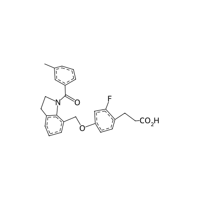 Cc1cccc(C(=O)N2CCc3cccc(COc4ccc(CCC(=O)O)c(F)c4)c32)c1